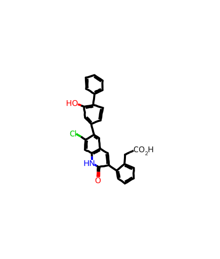 O=C(O)Cc1ccccc1-c1cc2cc(-c3ccc(-c4ccccc4)c(O)c3)c(Cl)cc2[nH]c1=O